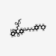 CCOC(=O)CCCc1[nH]c2ccccc2c1C(=O)c1ccc(OCCCCCc2ccc(CC3CCCCC3)cc2)cc1